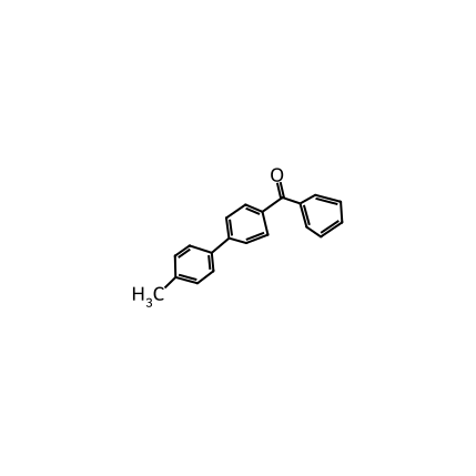 Cc1ccc(-c2ccc(C(=O)c3ccccc3)cc2)cc1